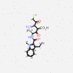 CC(C)Cc1c(C(=O)N[C@H](C(=O)C(C(=O)O)C(N)C(=O)CF)C(C)C)n(C)c2ccccc12